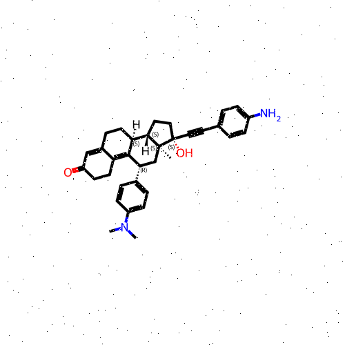 CN(C)c1ccc([C@H]2C[C@@]3(C)[C@@H](CC[C@@]3(O)C#Cc3ccc(N)cc3)[C@@H]3CCC4=CC(=O)CCC4=C32)cc1